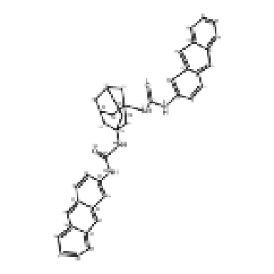 O=C(Nc1ccc2cc3ccccc3cc2c1)NC12CC3CC(C1)CC(NC(=O)Nc1ccc4cc5ccccc5cc4c1)(C3)C2